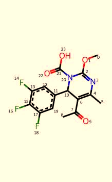 COC1=NC(C)=C(C(C)=O)C(c2cc(F)c(F)c(F)c2)N1C(=O)O